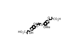 COc1cc2c(cc1OCC(C)(C)COc1cc3c(cc1OC)CN(C(O)C[C@H](C)C(=O)O)C3)CN(C(=O)C[C@H](C)C(=O)O)C2